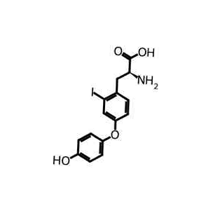 N[C@@H](Cc1ccc(Oc2ccc(O)cc2)cc1I)C(=O)O